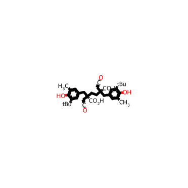 Cc1cc(CC(C=C=O)(CCC(C=C=O)(Cc2cc(C)c(O)c(C(C)(C)C)c2)C(=O)O)C(=O)O)cc(C(C)(C)C)c1O